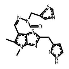 Cc1c(/C=N\N(C=O)Cc2cncs2)c2sc(Cc3cc[nH]n3)nc2n1C